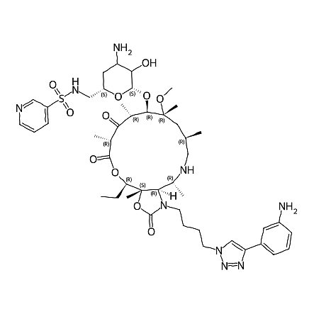 CC[C@H]1OC(=O)[C@H](C)C(=O)[C@H](C)[C@@H](O[C@@H]2O[C@H](CNS(=O)(=O)c3cccnc3)CC(N)C2O)[C@](C)(OC)C[C@@H](C)CN[C@H](C)[C@H]2N(CCCCn3cc(-c4cccc(N)c4)nn3)C(=O)O[C@]12C